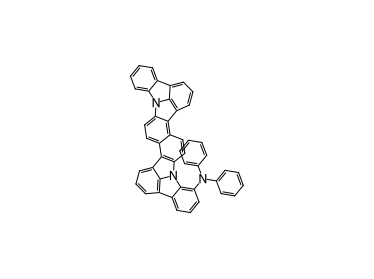 c1ccc(N(c2ccccc2)c2cccc3c4cccc5c6c7ccc8c(c7ccc6n(c23)c45)c2cccc3c4ccccc4n8c32)cc1